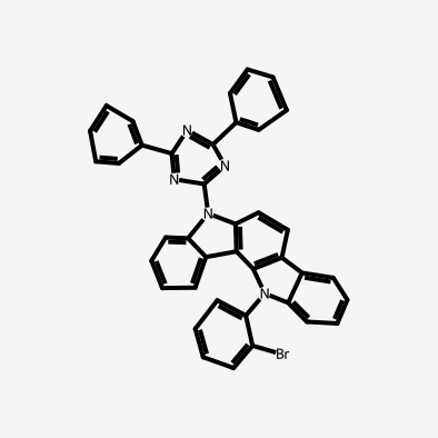 Brc1ccccc1-n1c2ccccc2c2ccc3c(c4ccccc4n3-c3nc(-c4ccccc4)nc(-c4ccccc4)n3)c21